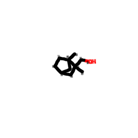 CC1(CO)CC2CCC1(C)C2